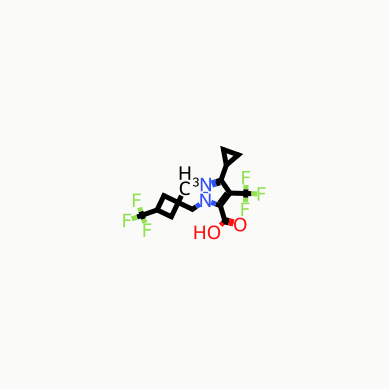 CC1(Cn2nc(C3CC3)c(C(F)(F)F)c2C(=O)O)CC(C(F)(F)F)C1